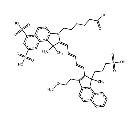 COCC[N+]1=C(/C=C/C=C/C=C2/N(CCCCCC(=O)O)c3ccc4c(S(=O)(=O)O)cc(S(=O)(=O)O)cc4c3C2(C)C)C(C)(CCCS(=O)(=O)O)c2c1ccc1ccccc21